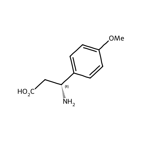 COc1ccc([C@H](N)CC(=O)O)cc1